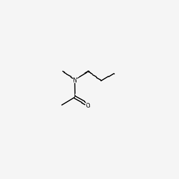 CCCN(C)C(C)=O